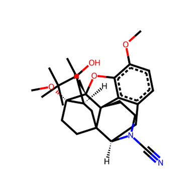 COc1ccc2c3c1O[C@H]1[C@]4(OC)CCC5(C[C@@H]4C(C)(O)C(C)(C)C)[C@@H](C2)N(C#N)CC[C@]315